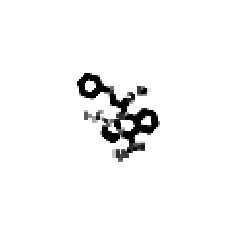 C[n+]1ccn(C(NN)c2ccccc2NC(=O)CSC2CCCCC2)c1.[Br-]